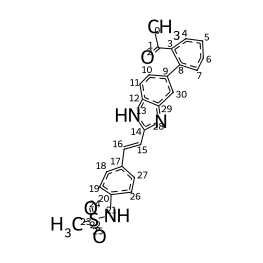 CC(=O)c1ccccc1-c1ccc2[nH]c(C=Cc3ccc(NS(C)(=O)=O)cc3)nc2c1